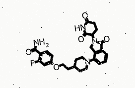 NC(=O)c1ccc(OCCC2CCN(c3cccc4c3CN(C3CCC(=O)NC3=O)C4=O)CC2)cc1F